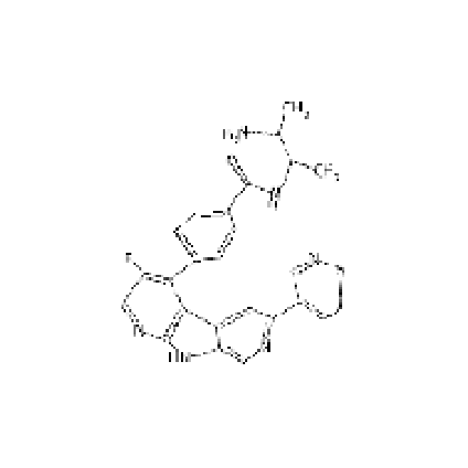 CC(N)C(C)NC(=O)c1ccc(-c2c(F)cnc3[nH]c4cnc(-c5cccnc5)cc4c23)cc1